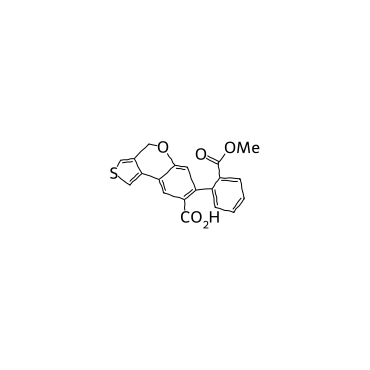 COC(=O)c1ccccc1-c1cc2c(cc1C(=O)O)-c1cscc1CO2